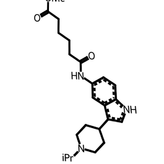 COC(=O)CCCCC(=O)Nc1ccc2[nH]cc(C3CCN(C(C)C)CC3)c2c1